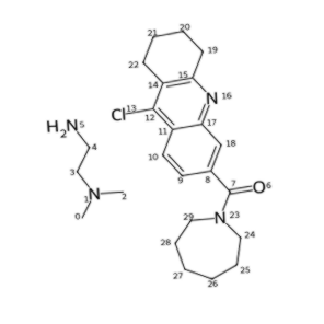 CN(C)CCN.O=C(c1ccc2c(Cl)c3c(nc2c1)CCCC3)N1CCCCCC1